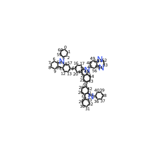 c1ccc(-n2c3ccccc3c3ccc(-c4ccc5c(c4)c4cc(-c6ccc7c8ccccc8n(-c8ccccc8)c7c6)ccc4n5-c4ccc5nccnc5c4)cc32)cc1